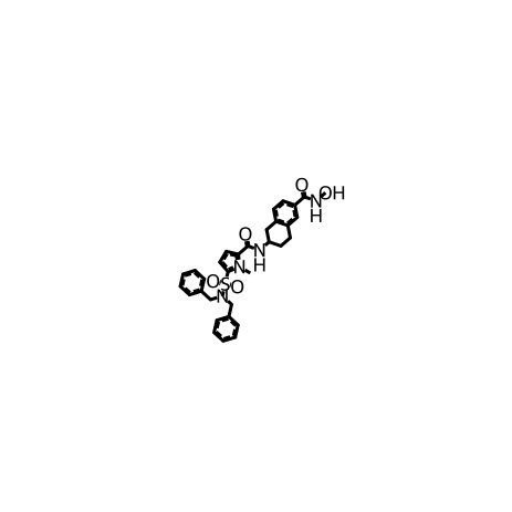 Cn1c(C(=O)NC2CCc3cc(C(=O)NO)ccc3C2)ccc1S(=O)(=O)N(Cc1ccccc1)Cc1ccccc1